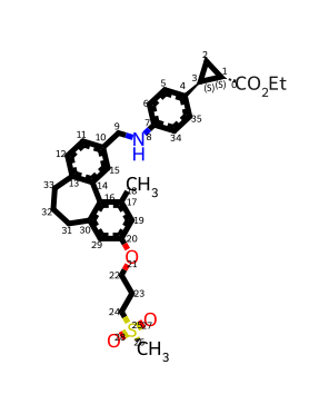 CCOC(=O)[C@H]1C[C@@H]1c1ccc(NCc2ccc3c(c2)-c2c(C)cc(OCCCS(C)(=O)=O)cc2CCC3)cc1